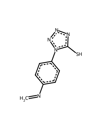 C=Nc1ccc(-n2nnnc2S)cc1